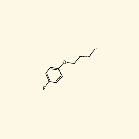 [CH2]CCCOc1ccc(F)cc1